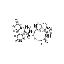 CC1CCCC(n2cnc(-c3cc(Cl)ccc3-c3ccnnc3)cc2=O)c2cc(ccn2)-c2c(cnn2C)NC1=O